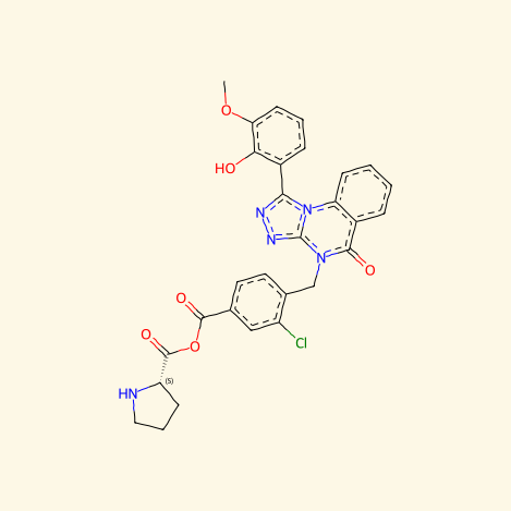 COc1cccc(-c2nnc3n(Cc4ccc(C(=O)OC(=O)[C@@H]5CCCN5)cc4Cl)c(=O)c4ccccc4n23)c1O